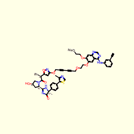 C#Cc1cccc(Nc2ncnc3cc(OCCOC)c(OCCOCC#CC#CCOc4cc([C@@H](C(=O)N5C[C@H](O)C[C@@H]5C5=NC(=O)[C@](C)(c6ccc(-c7scnc7C)cc6)N5)C(C)C)on4)cc23)c1